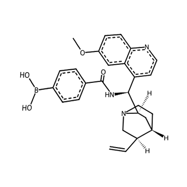 C=C[C@H]1CN2CC[C@H]1C[C@@H]2[C@@H](NC(=O)c1ccc(B(O)O)cc1)c1ccnc2ccc(OC)cc12